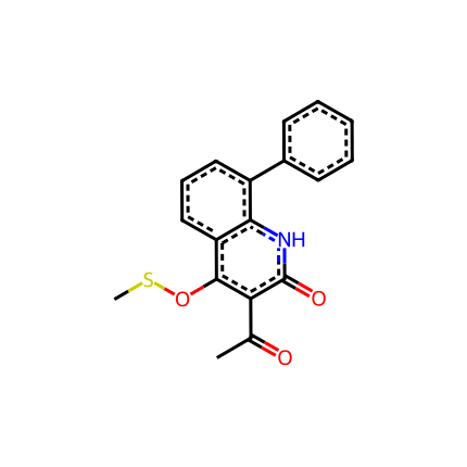 CSOc1c(C(C)=O)c(=O)[nH]c2c(-c3ccccc3)cccc12